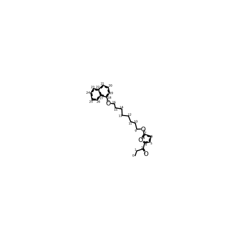 CCC(=O)c1ccc(OCCCCCCCCOc2cccc3ccccc23)o1